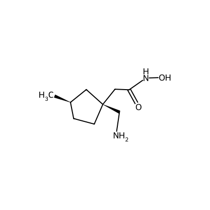 C[C@@H]1CC[C@@](CN)(CC(=O)NO)C1